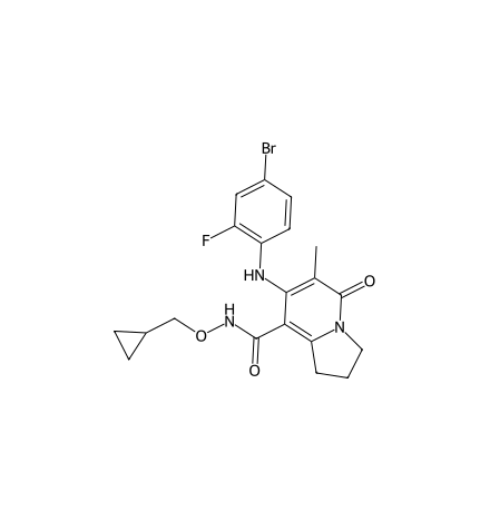 Cc1c(Nc2ccc(Br)cc2F)c(C(=O)NOCC2CC2)c2n(c1=O)CCC2